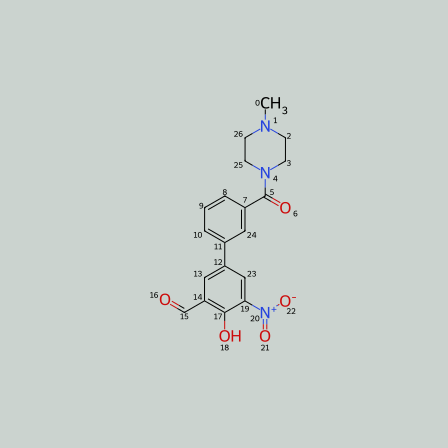 CN1CCN(C(=O)c2cccc(-c3cc(C=O)c(O)c([N+](=O)[O-])c3)c2)CC1